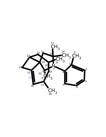 Cc1ccccc1N1[C@@H](C)C2(CC1(C)C)/C1=C/C(C)CC(C)CC2C1